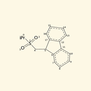 CC(C)S(=O)(=O)CC1c2ccccc2-c2ccccc21